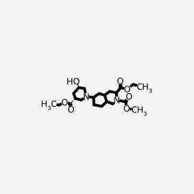 CCOC(=O)C1CC2CC(N3C[C@@H](O)C[C@@H](C(=O)OCC)C3)CCC2CN1C(=O)OC